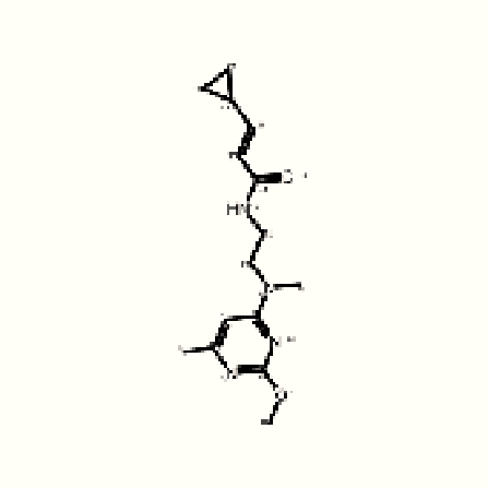 COc1nc(C)cc(N(C)CCNC(=O)C=CC2CC2)n1